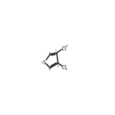 Clc1[c]s[c]c1Cl